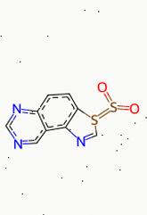 O=S(=O)=S1C=Nc2c1ccc1ncncc21